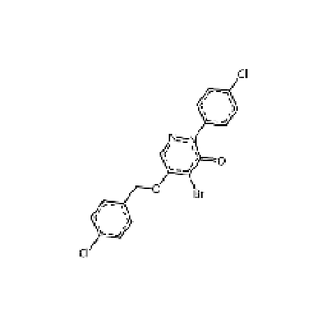 O=c1c(Br)c(OCc2ccc(Cl)cc2)cnn1-c1ccc(Cl)cc1